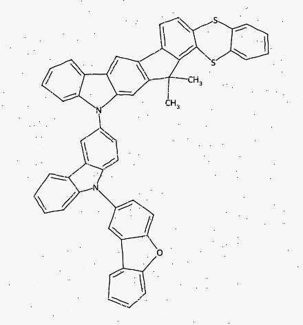 CC1(C)c2cc3c(cc2-c2ccc4c(c21)Sc1ccccc1S4)c1ccccc1n3-c1ccc2c(c1)c1ccccc1n2-c1ccc2oc3ccccc3c2c1